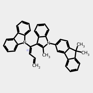 C=C/C=C(\c1c(C)n(-c2ccc3c(c2)-c2ccccc2C3(C)C)c2ccccc12)n1c2ccccc2c2ccccc21